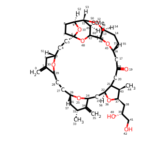 C=C1C[C@@H]2CC[C@]34CC[C@H](O3)[C@@H]3O[C@H]5CC[C@H](CC(=O)CC6[C@H](CC7O[C@@H](CCC1O2)C[C@@H](C)C7=C)O[C@H](C[C@@H](O)CO)[C@@H]6C)O[C@@H]5[C@H](O4)[C@@H]3OC